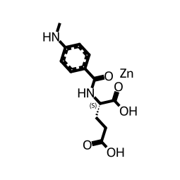 CNc1ccc(C(=O)N[C@@H](CCC(=O)O)C(=O)O)cc1.[Zn]